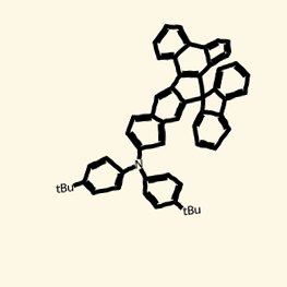 CC(C)(C)c1ccc(N(c2ccc(C(C)(C)C)cc2)c2ccc3cc4c(cc3c2)C2(c3ccccc3-c3ccccc32)c2c-4c3ccccc3c3ccccc23)cc1